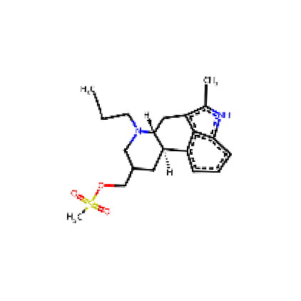 CCCN1CC(COS(C)(=O)=O)C[C@@H]2c3cccc4[nH]c(C)c(c34)C[C@H]21